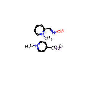 CCOC(=O)c1cc[n+](C)cc1.C[n+]1ccccc1C=NO.[I-].[I-]